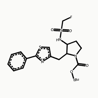 CC(C)(C)OC(=O)N1CCC(NS(=O)(=O)CF)C1Cc1csc(-c2ccccc2)n1